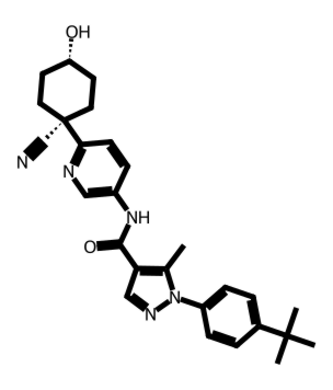 Cc1c(C(=O)Nc2ccc([C@]3(C#N)CC[C@@H](O)CC3)nc2)cnn1-c1ccc(C(C)(C)C)cc1